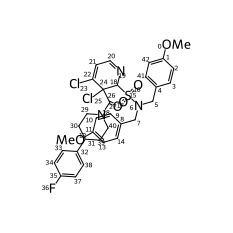 COc1ccc(CN(Cc2ccc(OC)cc2)S(=O)(=O)C2N=CC=C(Cl)C2(Cl)C(=O)N2CCC(c3ccc(F)cc3)CC2)cc1